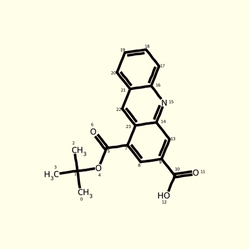 CC(C)(C)OC(=O)c1cc(C(=O)O)cc2nc3ccccc3cc12